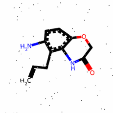 C=CCc1c(N)ccc2c1NC(=O)CO2